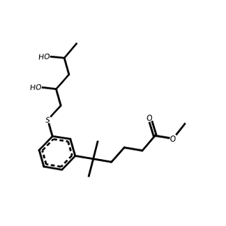 COC(=O)CCCC(C)(C)c1cccc(SCC(O)CC(C)O)c1